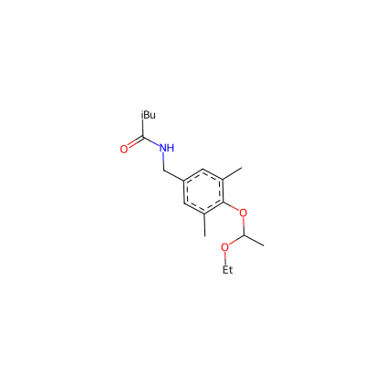 CCOC(C)Oc1c(C)cc(CNC(=O)C(C)CC)cc1C